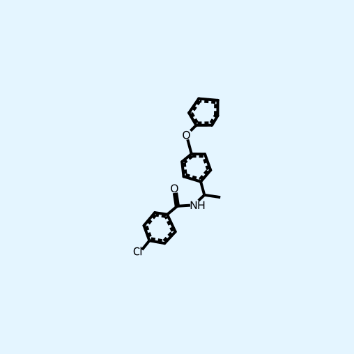 CC(NC(=O)c1ccc(Cl)cc1)c1ccc(Oc2ccccc2)cc1